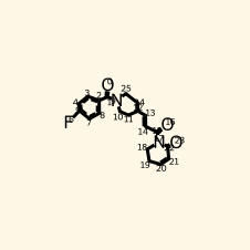 O=C(c1ccc(F)cc1)N1CCC(C=CC(=O)N2CCC=CC2=O)CC1